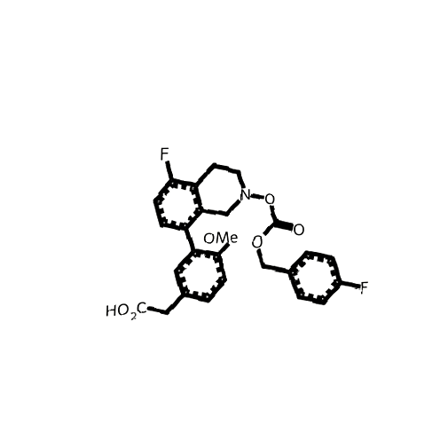 COc1ccc(CC(=O)O)cc1-c1ccc(F)c2c1CN(OC(=O)OCc1ccc(F)cc1)CC2